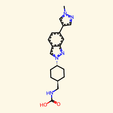 Cn1cc(-c2ccc3cn([C@H]4CC[C@H](CNC(=O)O)CC4)nc3c2)cn1